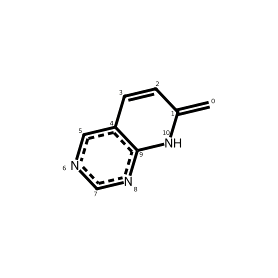 C=C1C=Cc2cncnc2N1